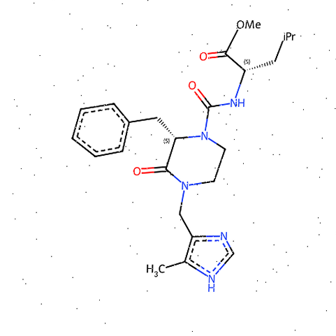 COC(=O)[C@H](CC(C)C)NC(=O)N1CCN(Cc2nc[nH]c2C)C(=O)[C@@H]1Cc1ccccc1